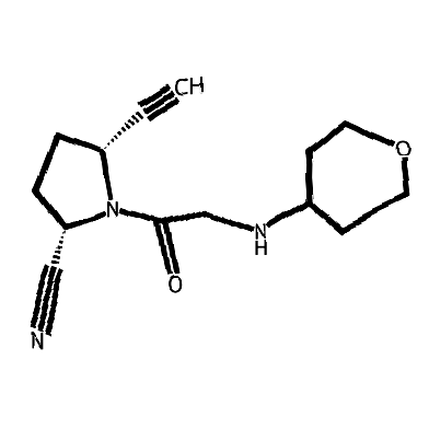 C#C[C@H]1CC[C@@H](C#N)N1C(=O)CNC1CCOCC1